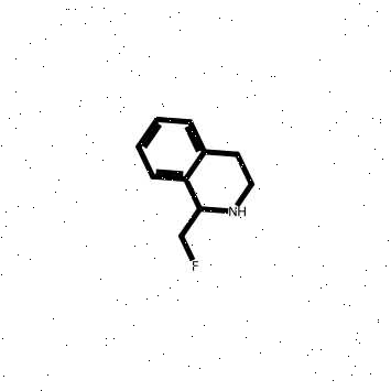 FCC1NCCc2ccccc21